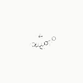 O=C(O)C(F)(F)F.O=C1NCCc2[nH]c(-c3ccnc(-c4ccc(CNC5CCCCC5)cc4)c3)cc21